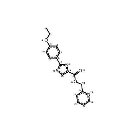 CCOc1ccc(-c2nc(C(=O)OCc3ccccn3)cs2)cc1